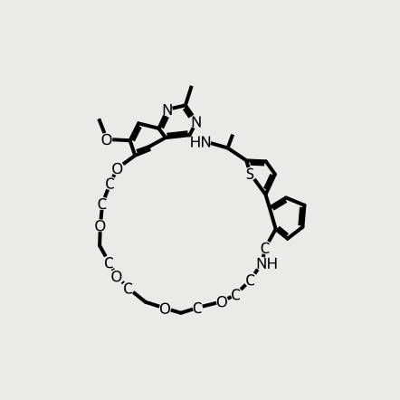 COc1cc2nc(C)nc3c2cc1OCCOCCOCCOCCOCCNCc1ccccc1-c1ccc(s1)C(C)N3